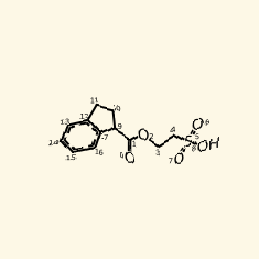 O=C(OCCS(=O)(=O)O)C1CCc2ccccc21